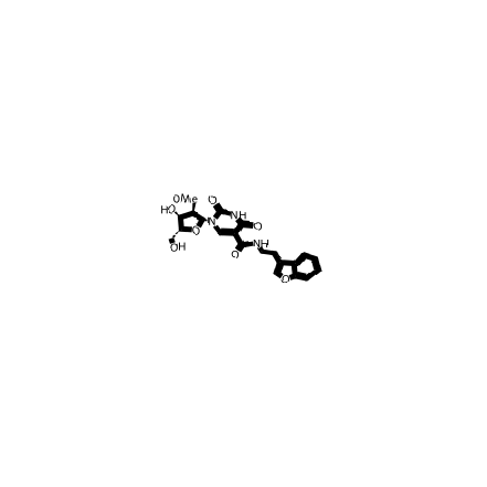 CO[C@@H]1[C@@H](O)[C@@H](CO)O[C@H]1n1cc(C(=O)NCCc2coc3ccccc23)c(=O)[nH]c1=O